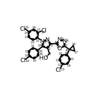 OCc1c(-c2nnc(C3(c4ccc(Cl)cc4)CC3)o2)nn(-c2ccc(Cl)cc2Cl)c1-c1ccc(Cl)cc1